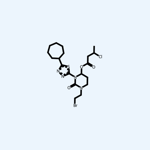 CC(Cl)CC(=O)OC1CCN(CCBr)C(=O)N1c1nnc(C2CCCCCC2)s1